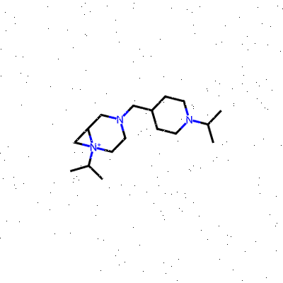 CC(C)N1CCC(CN2CC[N+]3(C(C)C)CC3C2)CC1